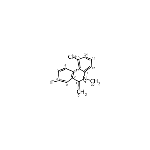 C=C(c1cccc(F)c1)N(C)c1cccc(Cl)c1